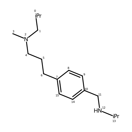 CC(C)CN(C)CCCc1ccc(CNC(C)C)cc1